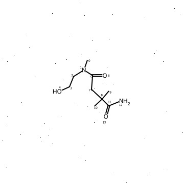 CN(CCO)C(=O)[CH]C(C)(C)C(N)=O